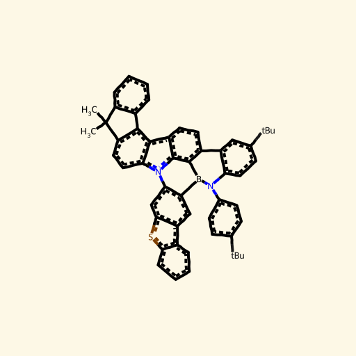 CC(C)(C)c1ccc(N2B3c4cc5c(cc4-n4c6ccc7c(c6c6ccc(c3c64)-c3cc(C(C)(C)C)ccc32)-c2ccccc2C7(C)C)sc2ccccc25)cc1